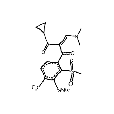 CNc1c(C(F)(F)F)ccc(C(=O)/C(=C\N(C)C)C(=O)C2CC2)c1S(C)(=O)=O